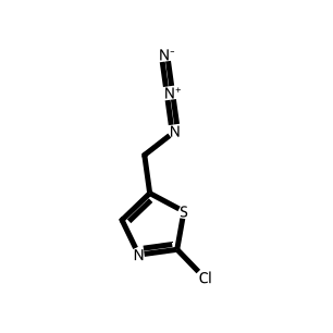 [N-]=[N+]=NCc1cnc(Cl)s1